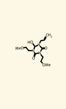 C=CCN1C(=O)N(CCOC)C(=O)N(CCOC)C1O